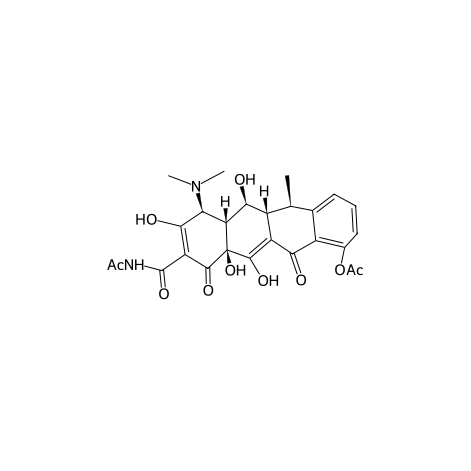 CC(=O)NC(=O)C1=C(O)[C@@H](N(C)C)[C@@H]2[C@@H](O)[C@H]3C(=C(O)[C@]2(O)C1=O)C(=O)c1c(OC(C)=O)cccc1[C@@H]3C